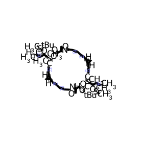 C/C=C/[C@@H](O[Si](C)(C)C(C)(C)C)C(C)(C)[C@@H]1C/C=C\[C@H]2C[C@@H]2/C=C/C=C\c2nc(co2)C(=O)O[C@H](C(C)(C)[C@@H](/C=C/C)O[Si](C)(C)C(C)(C)C)C/C=C\[C@H]2C[C@@H]2/C=C/C=C\c2nc(co2)C(=O)O1